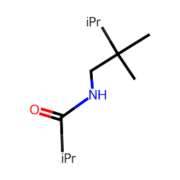 CC(C)C(=O)NCC(C)(C)C(C)C